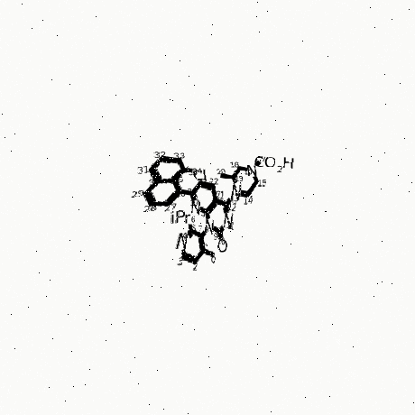 Cc1ccnc(C(C)C)c1-n1c(=O)nc(N2CCN(C(=O)O)CC2C)c2cc(Cl)c(-c3cccc4cccc(C)c34)nc21